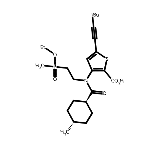 CCOP(C)(=O)CCN(c1cc(C#CC(C)(C)C)sc1C(=O)O)C(=O)[C@H]1CC[C@H](C)CC1